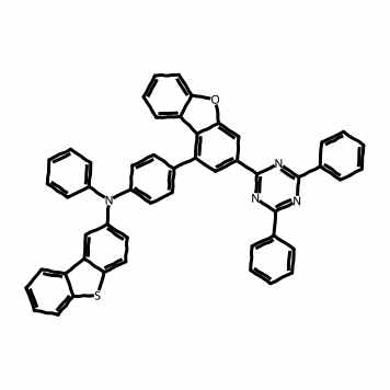 c1ccc(-c2nc(-c3ccccc3)nc(-c3cc(-c4ccc(N(c5ccccc5)c5ccc6sc7ccccc7c6c5)cc4)c4c(c3)oc3ccccc34)n2)cc1